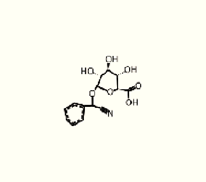 N#CC(OC1O[C@H](C(=O)O)[C@@H](O)[C@H](O)[C@H]1O)c1ccccc1